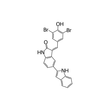 O=C1Nc2ccc(-c3cc4ccccc4[nH]3)cc2C1=Cc1cc(Br)c(O)c(Br)c1